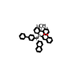 CC1=C(c2ccccc2C)[C](P(c2ccc3ccccc3c2)P(c2ccc(-c3ccccc3)cc2)c2ccc3ccccc3c2)CC=C1